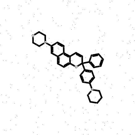 C1=CC(c2ccccc2)(c2ccc(N3CCCCC3)cc2)Oc2ccc3cc(N4CCOCC4)ccc3c21